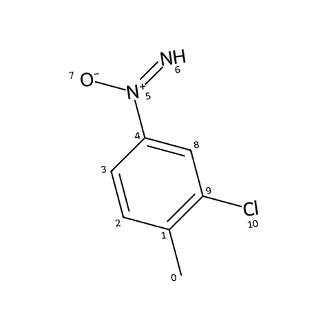 Cc1ccc([N+](=N)[O-])cc1Cl